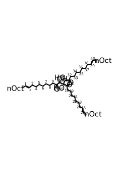 CCCCCCCCC=CCCCCCCCC(=O)C(O)C(O)(C(=O)CCCCCCCC=CCCCCCCCC)C(O)C(=O)CCCCCCCC=CCCCCCCCC